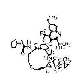 COc1ccc2nc(C(C)C)c3c(c2c1)C(F)(F)C[C@]1(C[C@H]2C(=O)N[C@]4(C(=O)NS(=O)(=O)C5(C)CC5)C[C@H]4/C=C\CCCCC[C@H](NC(=O)OC4CCCC4)C(=O)N2C1)O3